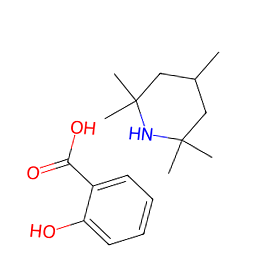 CC1CC(C)(C)NC(C)(C)C1.O=C(O)c1ccccc1O